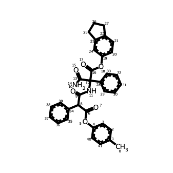 Cc1ccc(OC(=O)C(C(=O)NC(C(N)=O)(C(=O)Oc2ccc3c(c2)CCC3)c2ccccc2)c2ccccc2)cc1